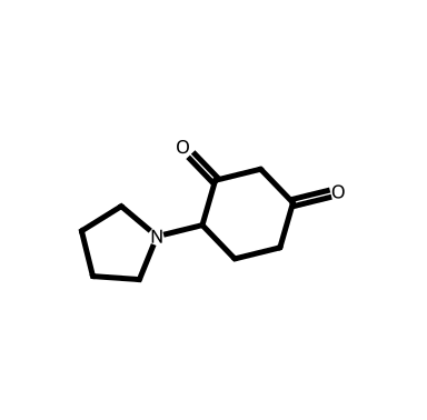 O=C1CCC(N2CCCC2)C(=O)C1